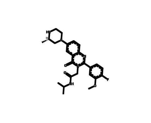 COc1cc(-c2nc3ccc(N4CCN[C@@H](C)C4)cc3c(=O)n2CC(=O)NC(C)C)ccc1F